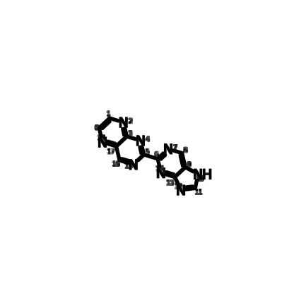 c1cnc2nc(-c3ncc4[nH]cnc4n3)ncc2n1